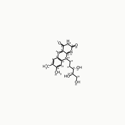 Cc1cc2nc3c(=O)[nH]c(=O)nc-3n(CC[C@H](O)[C@H](O)CO)c2cc1C